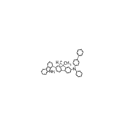 CC1(C)c2cc(-c3cccc4c3[nH]c3ccccc34)ccc2-c2ccc(N(c3ccccc3)c3ccc(-c4ccccc4)cc3)cc21